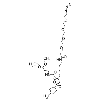 CCOC(CCNC(=O)OC(CCCCCNC(=O)CCOCCOCCOCCOCCN=[N+]=[N-])CS(=O)(=O)c1ccc(C)cc1)OCC